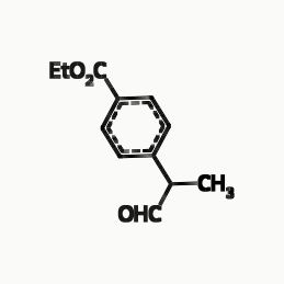 CCOC(=O)c1ccc(C(C)C=O)cc1